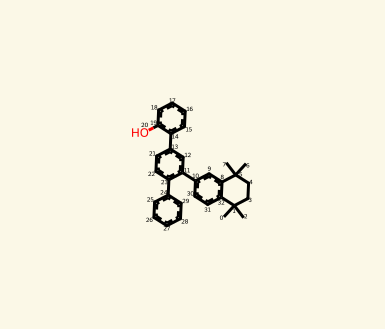 CC1(C)CCC(C)(C)c2cc(-c3cc(-c4ccccc4O)ccc3-c3ccccc3)ccc21